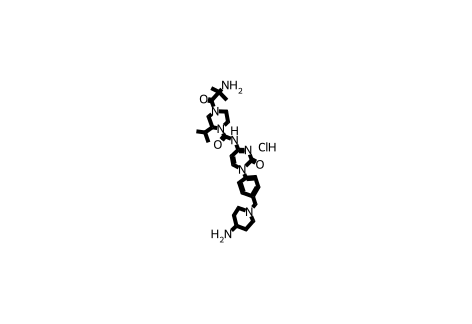 CC(C)C1CN(C(=O)C(C)(C)N)CCN1C(=O)Nc1ccn(-c2ccc(CN3CCC(N)CC3)cc2)c(=O)n1.Cl